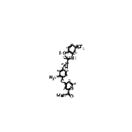 CNC(=O)c1cc(Oc2ccc(CNC(=O)Nc3cc(C(F)(F)F)ccc3O)cc2C)ccn1